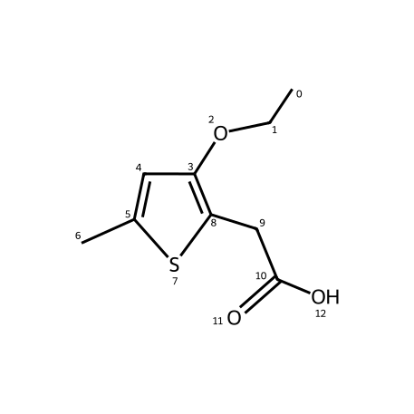 CCOc1cc(C)sc1CC(=O)O